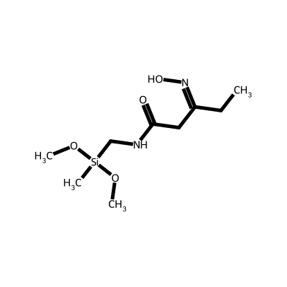 CCC(CC(=O)NC[Si](C)(OC)OC)=NO